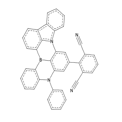 N#Cc1cccc(C#N)c1-c1cc2c3c(c1)-n1c4ccccc4c4cccc(c41)B3c1ccccc1N2c1ccccc1